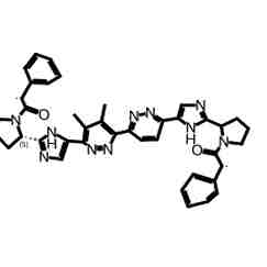 Cc1c(-c2ccc(-c3cnc(C4CCCN4C(=O)[CH]c4ccccc4)[nH]3)nn2)nnc(-c2cnc([C@@H]3CCCN3C(=O)[CH]c3ccccc3)[nH]2)c1C